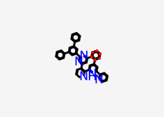 C1=CC(c2cc(-c3ccccc3)nc(-c3cc(-c4ccccc4)cc(-c4ccccc4)c3)n2)=C(c2cc(-c3ccccc3)cc(-c3ccccn3)n2)NC1